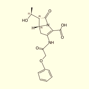 C[C@H](O)[C@@H]1C(=O)N2C(C(=O)O)=C(NC(=O)COc3ccccc3)C[C@H]12